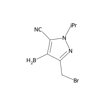 Bc1c(CBr)nn(C(C)C)c1C#N